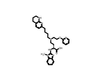 Cn1c(N[C@@H](CCN(CCCCc2ccc3c(n2)NCCC3)CCOc2ccccn2)C(=O)O)nc2ccccc21